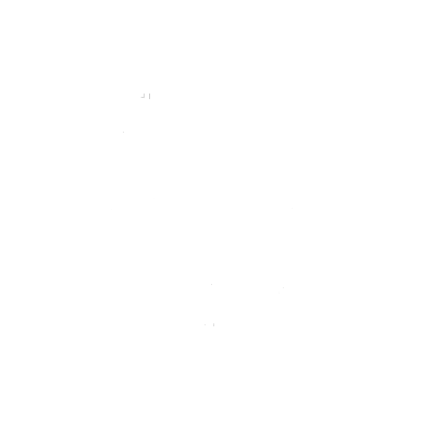 Cc1c(C)c2ccc(SC(C)(C)C)c(Cl)c2oc1=O